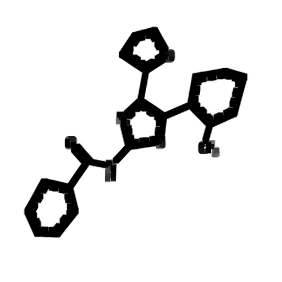 O=C(Nc1nc(-c2ccco2)c(-c2ccccc2C(F)(F)F)s1)c1ccccc1